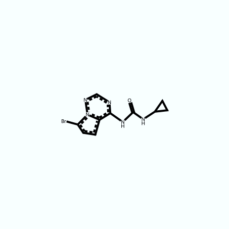 O=C(Nc1ncnn2c(Br)ccc12)NC1CC1